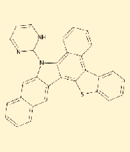 C1=CNC(n2c3cc4ccccc4cc3c3c4sc5ccccc5c4c4ccccc4c32)N=C1